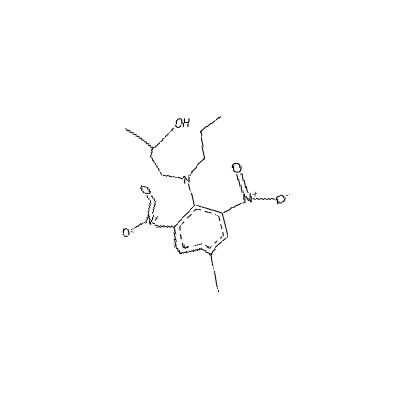 CCCN(CC(C)O)c1c([N+](=O)[O-])cc(C)cc1[N+](=O)[O-]